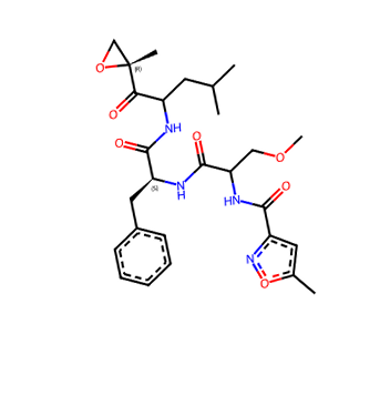 COCC(NC(=O)c1cc(C)on1)C(=O)N[C@@H](Cc1ccccc1)C(=O)NC(CC(C)C)C(=O)[C@@]1(C)CO1